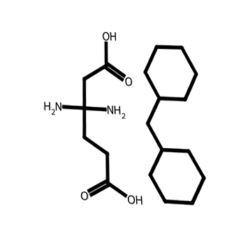 C1CCC(CC2CCCCC2)CC1.NC(N)(CCC(=O)O)CC(=O)O